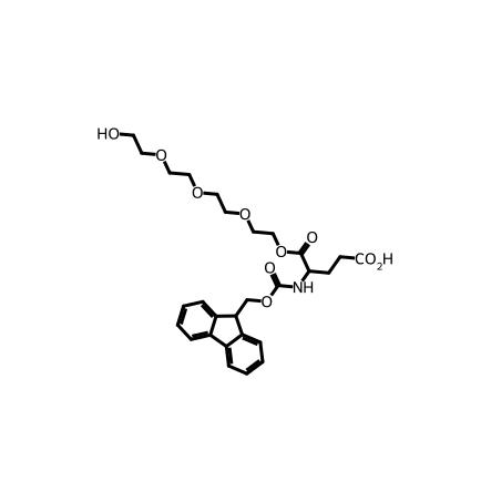 O=C(O)CCC(NC(=O)OCC1c2ccccc2-c2ccccc21)C(=O)OCCOCCOCCOCCO